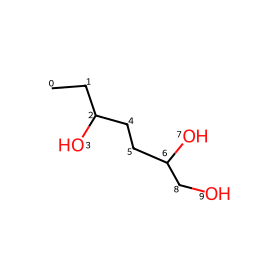 CCC(O)CCC(O)CO